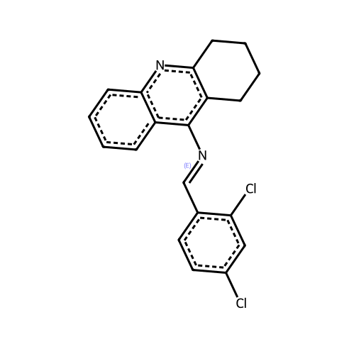 Clc1ccc(/C=N/c2c3c(nc4ccccc24)CCCC3)c(Cl)c1